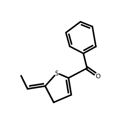 CC=C1CC=C(C(=O)c2ccccc2)S1